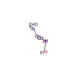 CCC(=O)CCCCCCc1ncc(-c2ccc3nc(OCCCCCN4CCC5(CC4)CC5C=O)ccc3c2)o1